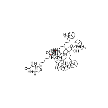 CC1(C)C2CC=C(CCC(CCNNC(=O)CCCC[C@@H]3SC[C@@H]4NC(=O)N[C@@H]43)C(CCC3=CCC4CC3C4(C)C)(CCC3=CCC4CC3C4(C)C)[C@@](CCC3=CCC4CC3C4(C)C)(C(=O)O)N(CCC3=CCC4CC3C4(C)C)CCC3=CCC4CC3C4(C)C)C1C2